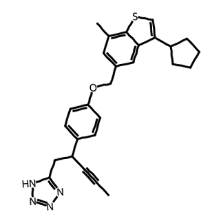 CC#CC(Cc1nnn[nH]1)c1ccc(OCc2cc(C)c3scc(C4CCCC4)c3c2)cc1